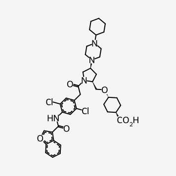 O=C(Nc1cc(Cl)c(CC(=O)N2C[C@@H](N3CCN(C4CCCCC4)CC3)C[C@H]2CO[C@H]2CC[C@H](C(=O)O)CC2)cc1Cl)c1coc2ccccc12